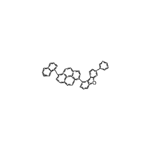 c1ccc(-c2ccc3c(c2)oc2cccc(-c4ccc5ccc6c(-c7cccc8ccccc78)ccc7ccc4c5c76)c23)cc1